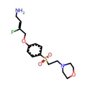 NC/C=C(\F)COc1ccc(S(=O)(=O)CCN2CCOCC2)cc1